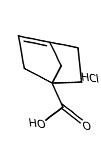 Cl.O=C(O)C12CC=C(CC1)C2